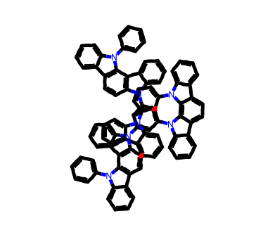 c1ccc(-n2c3ccccc3c3ccc4c(c5ccccc5n4-c4cc(-n5c6ccccc6c6c5ccc5c7ccccc7n(-c7ccccc7)c56)cc(-n5c6ccccc6c6ccc7c8ccccc8n(-c8cccc(-n9c%10ccccc%10c%10ccccc%109)c8)c7c65)c4)c32)cc1